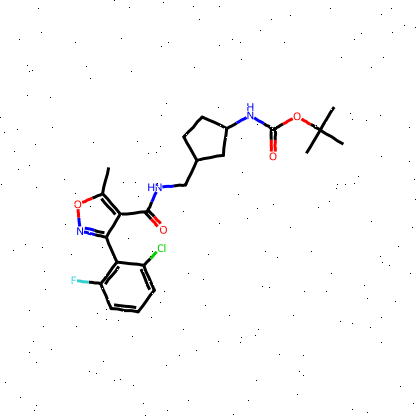 Cc1onc(-c2c(F)cccc2Cl)c1C(=O)NCC1CCC(NC(=O)OC(C)(C)C)C1